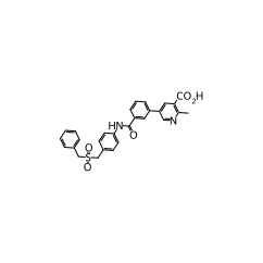 Cc1ncc(-c2cccc(C(=O)Nc3ccc(CS(=O)(=O)Cc4ccccc4)cc3)c2)cc1C(=O)O